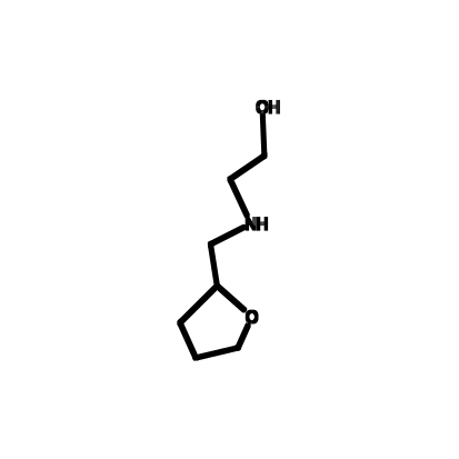 OCCNCC1CCCO1